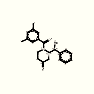 Cc1cc(C)cc(C(=O)N2CCC(=O)C[C@@H]2[C@@H](O)c2ccccc2)c1